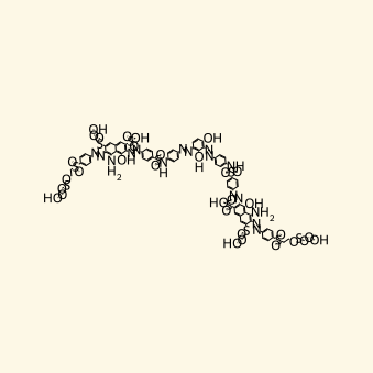 Nc1c(N=Nc2ccc(S(=O)(=O)CCOSOOO)cc2)c(SOOO)cc2cc(S(=O)(=O)O)c(/N=N/c3ccc(S(=O)(=O)Nc4ccc(N=Nc5c(O)ccc(N=Nc6ccc(NS(=O)(=O)c7ccc(/N=N/c8c(S(=O)(=O)O)cc9cc(SOOO)c(/N=N/c%10ccc(S(=O)(=O)CCOSOOO)cc%10)c(N)c9c8O)cc7)cc6)c5O)cc4)cc3)c(O)c12